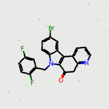 O=C1Cc2ncccc2-c2c1n(Cc1cc(F)ccc1F)c1ccc(Br)cc21